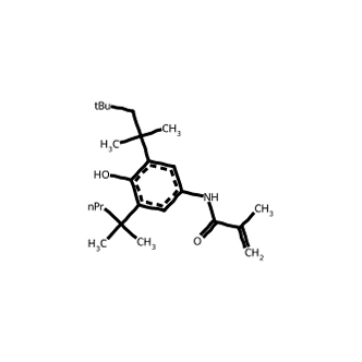 C=C(C)C(=O)Nc1cc(C(C)(C)CCC)c(O)c(C(C)(C)CC(C)(C)C)c1